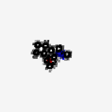 C[Si]1(C)c2ccccc2Oc2c1cc(-n1c3ccccc3n3c4ccccc4nc13)cc2[Si](c1ccccc1)(c1ccccc1)c1ccc2c(c1)-c1ccccc1-c1ccccc1-c1ccccc1-2